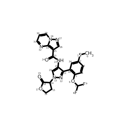 CSc1ccc(OC(F)F)c(-c2nn(C3CCOC3=O)cc2NC(=O)c2cnn3cccnc23)c1